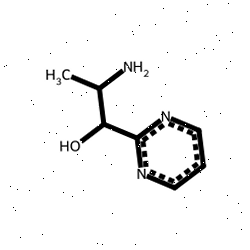 CC(N)C(O)c1ncccn1